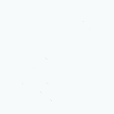 CC(C)C(c1ccc2c(Cl)c(OCC(F)(F)F)ccc2n1)n1ccnn1